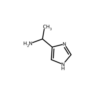 CC(N)c1c[nH]cn1